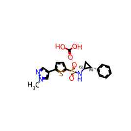 Cn1cc(-c2ccc(S(=O)(=O)N[C@H]3C[C@@H]3c3ccccc3)s2)cn1.O=C(O)O